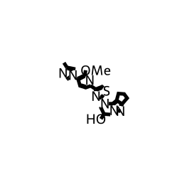 COc1nc(-c2csc(N3CC(O)Cn4nc5c(c43)CCC5)n2)ccc1-n1cnc(C)c1